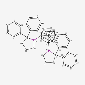 c1ccc(C2(c3ccccc3)CCCP2[C]23[CH]4[CH]5[CH]6[CH]2[Fe]56432789[CH]3[CH]2[CH]7[C]8(P2CCCC2(c2ccccc2)c2ccccc2)[CH]39)cc1